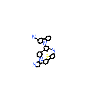 N#Cc1cc(-c2cccc(-n3c4cnccc4c4ccc5c6ccccc6sc5c43)c2)cc(-n2c3ccccc3c3cc(C#N)ccc32)c1